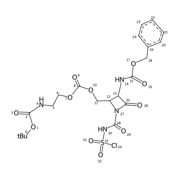 CC(C)(C)OC(=O)NCCOC(=O)OCC1C(NC(=O)OCc2ccccc2)C(=O)N1C(=O)NS(=O)(=O)Cl